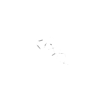 COC(=O)C1(Cc2ccc(Cl)cc2)CCC2(COC(C)(C)OC2)C1=O